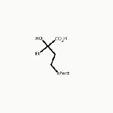 CCCCCCCC(O)(CC)C(=O)O